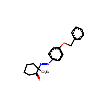 CCOC(=O)C1(/N=N/c2ccc(OCc3ccccc3)cc2)CCCCC1=O